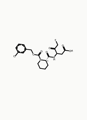 O=C(O)CC(NC(=O)[C@@H]1CCCCN1C(=O)OCc1cccc(Cl)c1)C(=O)CF